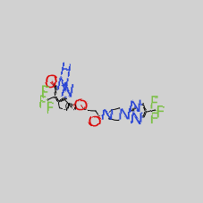 O=C(CCO[C@@H]1CCc2c1n[nH]c(=O)c2C(F)(F)F)N1CCN(c2ncc(C(F)(F)F)cn2)CC1